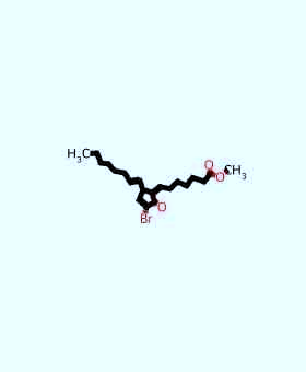 CCCCCC/C=C/C1C=C(Br)C(=O)/C1=C\CCCCCC(=O)OC